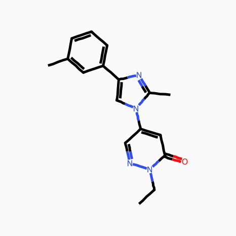 CCn1ncc(-n2cc(-c3cccc(C)c3)nc2C)cc1=O